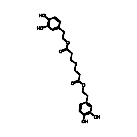 O=C(CCSCCC(=O)OCCc1ccc(O)c(O)c1)OCCc1ccc(O)c(O)c1